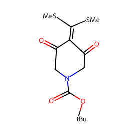 CSC(SC)=C1C(=O)CN(C(=O)OC(C)(C)C)CC1=O